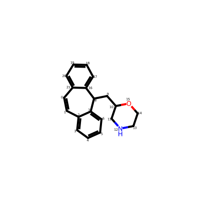 C1=Cc2ccccc2C(CC2CNCCO2)c2ccccc21